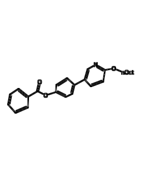 CCCCCCCCOc1ccc(-c2ccc(OC(=O)c3ccccc3)cc2)cn1